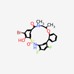 CC1CN(C)C(=O)c2cc(Br)c(O)c(c2)[S+]([O-])Nc2cc(c(F)cc2F)-c2ccccc2O1